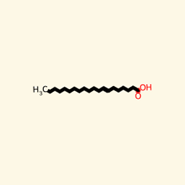 CCCCCCCCCCCC/C=C/CCCCCC(=O)O